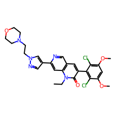 CCn1c(=O)c(-c2c(Cl)c(OC)cc(OC)c2Cl)cc2cnc(-c3cnn(CCN4CCOCC4)c3)cc21